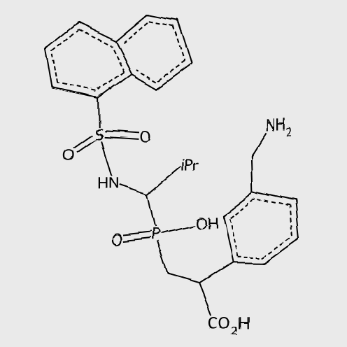 CC(C)C(NS(=O)(=O)c1cccc2ccccc12)P(=O)(O)CC(C(=O)O)c1cccc(CN)c1